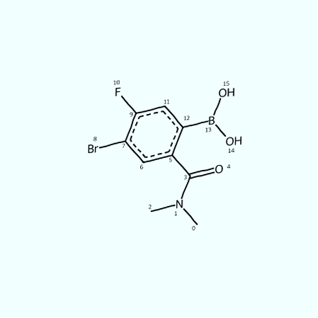 CN(C)C(=O)c1cc(Br)c(F)cc1B(O)O